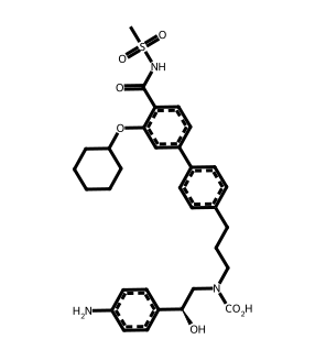 CS(=O)(=O)NC(=O)c1ccc(-c2ccc(CCCN(C[C@@H](O)c3ccc(N)cc3)C(=O)O)cc2)cc1OC1CCCCC1